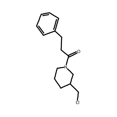 O=C(CCc1ccccc1)N1CCCC(CCl)C1